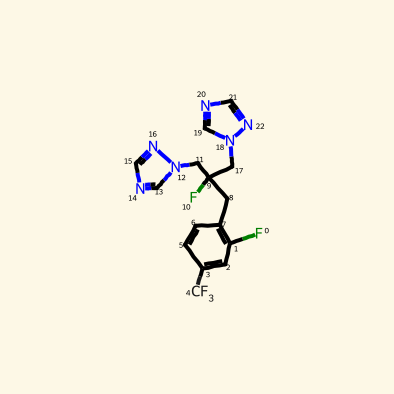 Fc1cc(C(F)(F)F)ccc1CC(F)(Cn1cncn1)Cn1cncn1